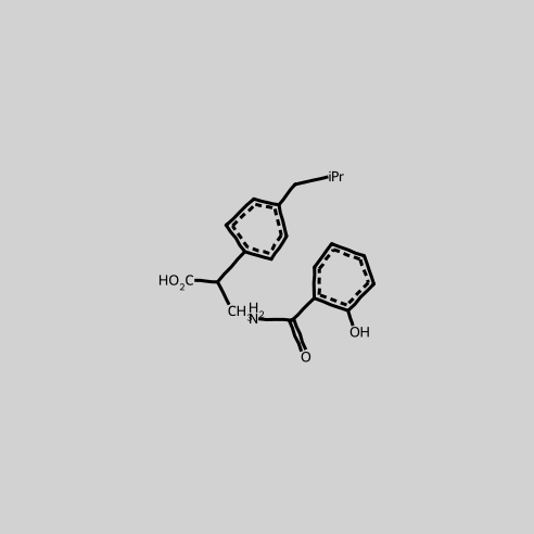 CC(C)Cc1ccc(C(C)C(=O)O)cc1.NC(=O)c1ccccc1O